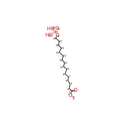 COC(=O)CCCCCCCCCCCCCCCOP(=O)(O)O